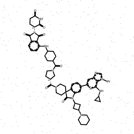 CC(C)n1cnc2cc(-c3ccc4c(c3)N(C3CC(N5CCCCC5)C3)C(=O)C43CCN(C(=O)[C@@H]4CCN(C(=O)C5CCC(Nc6cccc7c6C(=O)N([C@@H]6CCC(=O)NC6=O)C7=O)CC5)C4)CC3)nc(NC3CC3)c21